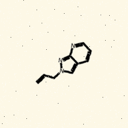 C=CCn1cc2cccnc2n1